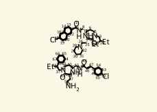 CCC(CC)CN1CC[C@@H](CNC(=O)c2ccc3cc(Cl)ccc3c2)N[C@@H](CCN2CCCCC2)C1=O.CCC(CN1CC[C@@H](CNC(=O)C=Cc2ccc(Cl)cc2)N[C@@H](CCN)C1=O)c1ccccc1